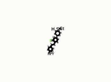 CCCc1ccc(C=Cc2ccc([C@H]3CC[C@H]([SiH2]CC)CC3)cc2F)cc1